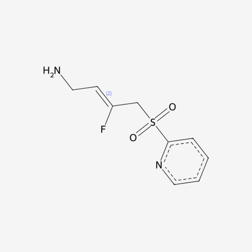 NC/C=C(\F)CS(=O)(=O)c1ccccn1